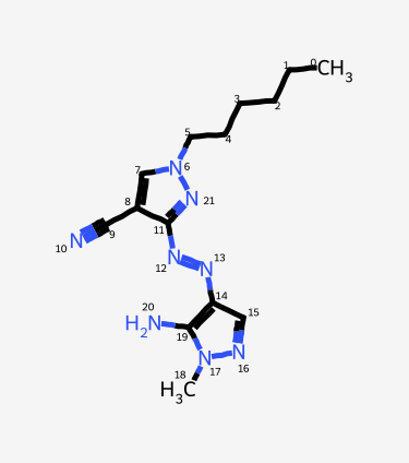 CCCCCCn1cc(C#N)c(N=Nc2cnn(C)c2N)n1